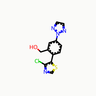 OCc1cc(-n2nccn2)ccc1-c1scnc1Cl